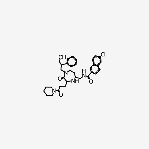 CCC(CN1CCC(CNC(=O)c2ccc3cc(Cl)ccc3c2)NC(CCC(=O)N2CCCCC2)C1=O)c1ccccc1